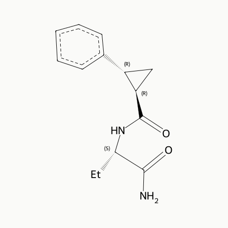 CC[C@H](NC(=O)[C@@H]1C[C@H]1c1ccccc1)C(N)=O